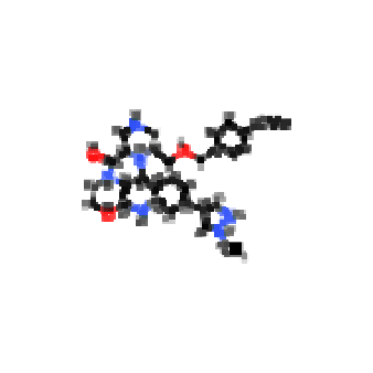 COc1ccc(COCC2CN=CC3C(=O)N4CCOc5nc6cc(-c7cnn(C)c7)ccc6c(c54)N23)cc1